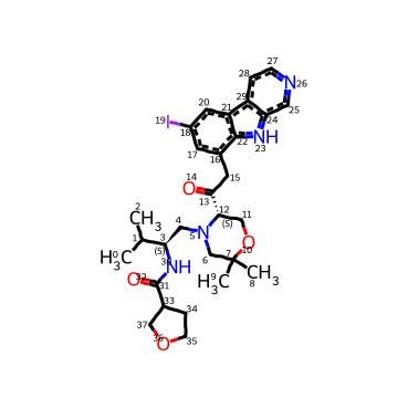 CC(C)[C@@H](CN1CC(C)(C)OC[C@H]1C(=O)Cc1cc(I)cc2c1[nH]c1cnccc12)NC(=O)C1CCOC1